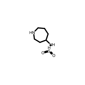 O=[SH](=O)NC1CCCNCC1